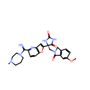 COc1ccc2c(c1)C(=O)N(C[C@@]1(c3cc4nc(C(=N)N5CCCN(C)CC5)ccc4o3)NC(=O)NC1=O)C2